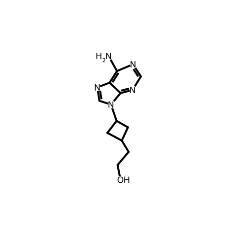 Nc1ncnc2c1ncn2C1CC(CCO)C1